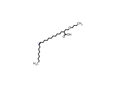 CCCCCCCC/C=C\CCCCCCCCCCC(CCOCCCC)C(=O)O